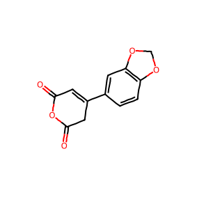 O=C1C=C(c2ccc3c(c2)OCO3)CC(=O)O1